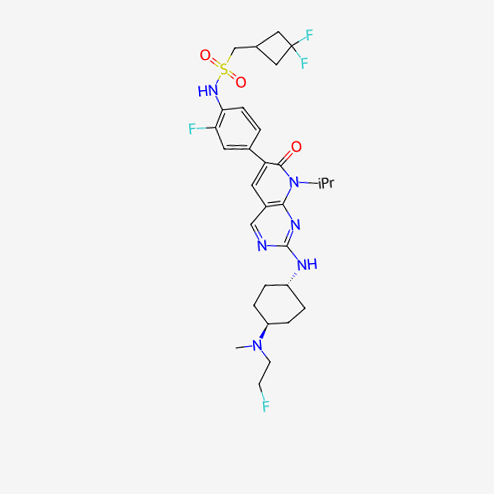 CC(C)n1c(=O)c(-c2ccc(NS(=O)(=O)CC3CC(F)(F)C3)c(F)c2)cc2cnc(N[C@H]3CC[C@H](N(C)CCF)CC3)nc21